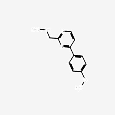 O=CNCc1nccc(-c2ccc(OC(F)(F)F)cc2)n1